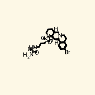 NS(=O)(=O)NCCCS(=O)(=O)N1CCC[C@@H]2CN3CCc4cc(Br)ccc4[C@@H]3C[C@@H]21